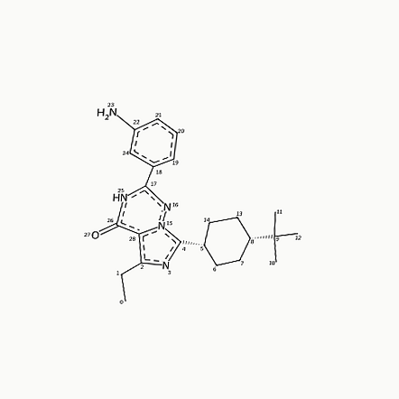 CCc1nc([C@H]2CC[C@@H](C(C)(C)C)CC2)n2nc(-c3cccc(N)c3)[nH]c(=O)c12